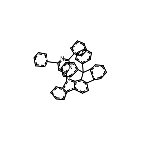 c1ccc(-c2cc(-n3c4ccccc4c4ccc5c(c43)C(c3ccccc3)(c3ccccc3)c3ccccc3-5)nc(-c3ccccc3)n2)cc1